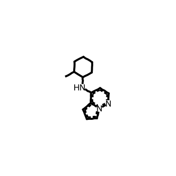 CC1CCCCC1Nc1ccnn2cccc12